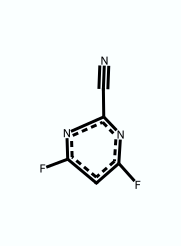 N#Cc1nc(F)cc(F)n1